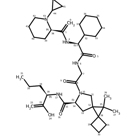 C=C(N[C@H](C(=O)NCC(=O)N1CC2(C[C@H]1C(=O)N[C@H](CCC)C(=C)O)C(C)(C)C21CCC1)C1CCCCC1)[C@H]1CCCCN1C1CC1